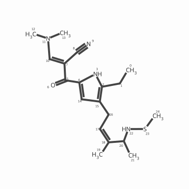 CCc1[nH]c(C(=O)/C(C#N)=C/N(C)C)cc1CC=C(C)C(C)NSC